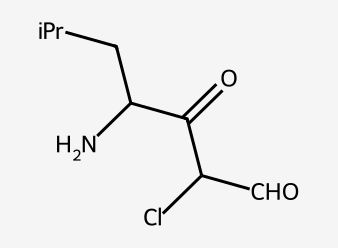 CC(C)CC(N)C(=O)C(Cl)C=O